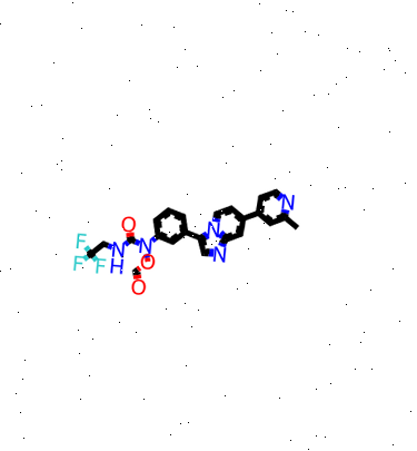 Cc1cc(-c2ccn3c(-c4cccc(N(OC=O)C(=O)NCC(F)(F)F)c4)cnc3c2)ccn1